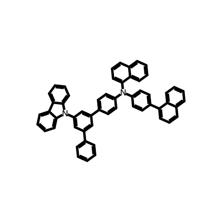 c1ccc(-c2cc(-c3ccc(N(c4ccc(-c5cccc6ccccc56)cc4)c4cccc5ccccc45)cc3)cc(-n3c4ccccc4c4ccccc43)c2)cc1